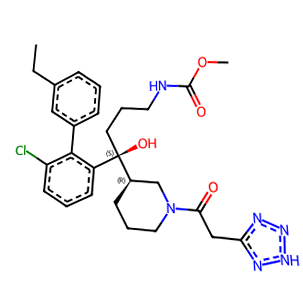 CCc1cccc(-c2c(Cl)cccc2[C@](O)(CCCNC(=O)OC)[C@@H]2CCCN(C(=O)Cc3nn[nH]n3)C2)c1